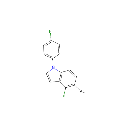 CC(=O)c1ccc2c(ccn2-c2ccc(F)cc2)c1F